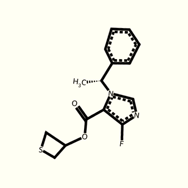 C[C@H](c1ccccc1)n1cnc(F)c1C(=O)OC1CSC1